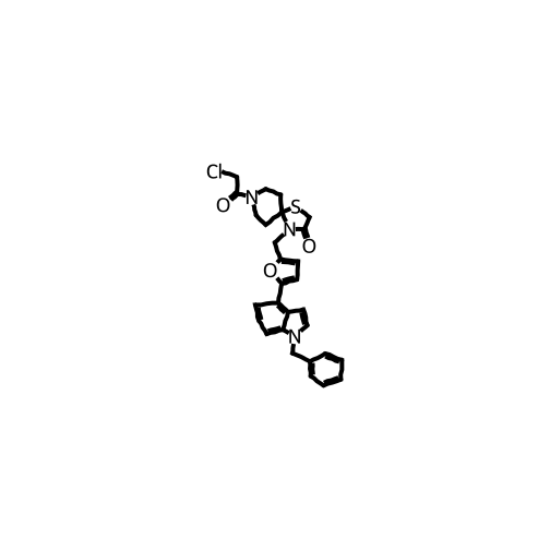 O=C(CCl)N1CCC2(CC1)SCC(=O)N2Cc1ccc(-c2cccc3c2ccn3Cc2ccccc2)o1